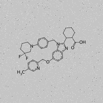 Cc1ccc(COc2ccc3nc(C4CCCCC4C(=O)O)n(Cc4ccc(N5CCCC(F)(F)C5)cc4)c3c2)nc1